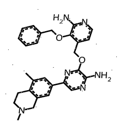 Cc1cc(-c2cnc(N)c(OCc3ccnc(N)c3OCc3ccccc3)n2)cc2c1CCN(C)C2